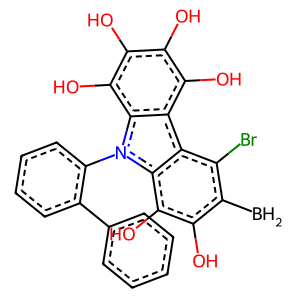 Bc1c(O)c(O)c2c(c1Br)c1c(O)c(O)c(O)c(O)c1n2-c1ccccc1-c1ccccc1